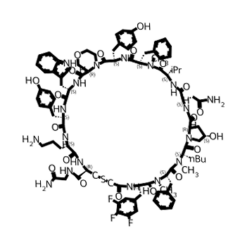 CCCC[C@H]1C(=O)N2C[C@@H](O)C[C@@H]2C(=O)N[C@@H](CC(N)=O)C(=O)N[C@@H](C(C)C)C(=O)N(C)[C@@H](Cc2ccccc2)C(=O)N[C@@H](Cc2ccc(O)cc2)C(=O)N2CCOC[C@@H]2C(=O)N[C@@H](Cc2c[nH]c3ccccc23)C(=O)N[C@@H](Cc2ccc(O)cc2)C(=O)N[C@@H](CCCN)C(=O)N[C@H](C(=O)NCC(N)=O)CSCC(=O)N[C@@H](Cc2cc(F)c(F)c(F)c2)C(O)N(C)[C@@H](Cc2ccccc2)C(=O)N1C